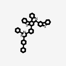 c1ccc(-c2ccc(-c3cc(-c4cccc(-c5cc6c(-c7ccc8sc9ccccc9c8c7)nc7ccccc7c6c6c5sc5ccccc56)c4)nc(-c4ccccc4)n3)cc2)cc1